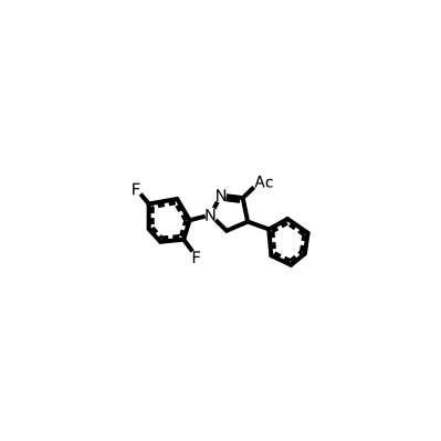 CC(=O)C1=NN(c2cc(F)ccc2F)CC1c1ccccc1